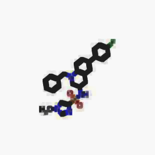 Cn1cnc(S(=O)(=O)NC2Cc3cc(-c4ccc(F)cc4)ccc3N(Cc3ccccc3)C2)c1